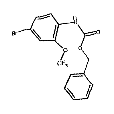 O=C(Nc1ccc(Br)cc1OC(F)(F)F)OCc1ccccc1